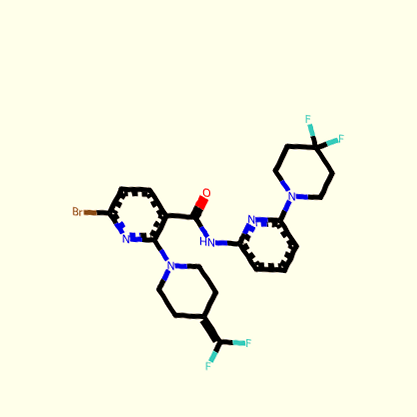 O=C(Nc1cccc(N2CCC(F)(F)CC2)n1)c1ccc(Br)nc1N1CCC(=C(F)F)CC1